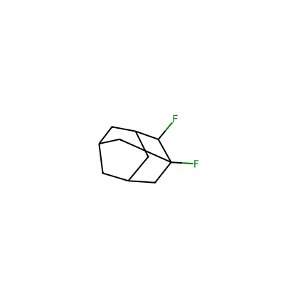 FC1C2CC3CC(C2)CC1(F)C3